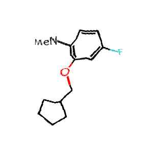 CNc1ccc(F)cc1OCC1CCCC1